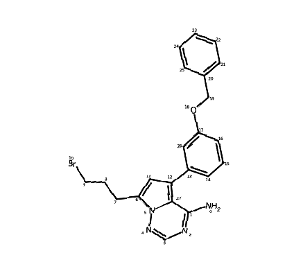 Nc1ncnn2c(CCCBr)cc(-c3cccc(OCc4ccccc4)c3)c12